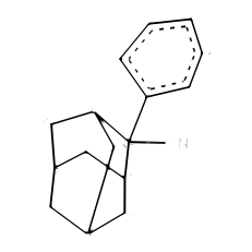 N#CC1(c2ccccc2)C2CC3CC(C2)CC1C3